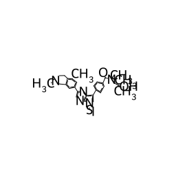 Cc1cc(-c2cnc3c(n2)c(-c2ccc(C(=O)N(C)CC(C)(C)O)cc2)cn3SI)cc2c1CCN(C)C2